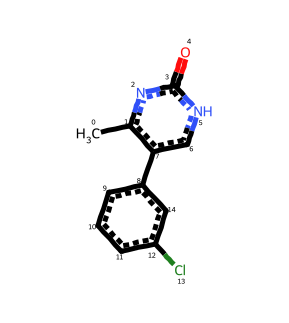 Cc1nc(=O)[nH]cc1-c1cccc(Cl)c1